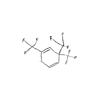 FC(F)(F)C1=CC(C(F)(F)F)(C(F)(F)F)C=C[CH]1